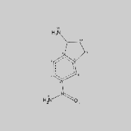 NC(=O)c1ccc2c(c1)CCC2N